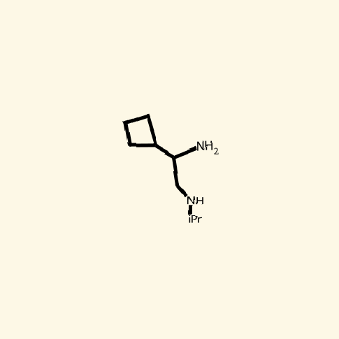 CC(C)NCC(N)C1CCC1